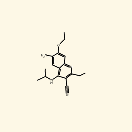 CCOc1cc2nc(CC)c(C#N)c(NC(C)C)c2cc1N